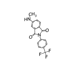 CNc1ccc2c(c1)C(=O)N(c1ccc(C(F)(F)F)cc1)C2=O